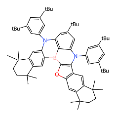 CC(C)(C)c1cc(N2c3cc4c(cc3B3c5oc6cc7c(cc6c5N(c5cc(C(C)(C)C)cc(C(C)(C)C)c5)c5cc(C(C)(C)C)cc2c53)C(C)(C)CCC7(C)C)C(C)(C)CCC4(C)C)cc(C(C)(C)C)c1